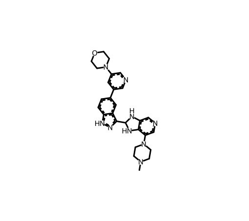 CN1CCN(c2cncc3c2NC(c2n[nH]c4ccc(-c5cncc(N6CCOCC6)c5)cc24)N3)CC1